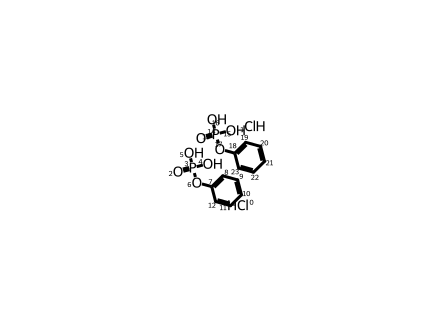 Cl.Cl.O=P(O)(O)Oc1ccccc1.O=P(O)(O)Oc1ccccc1